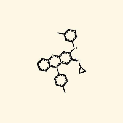 Cc1cncc(Nc2cc3nc4ccccc4n(-c4ccc(F)cc4)c-3c/c2=N\C2CC2)c1